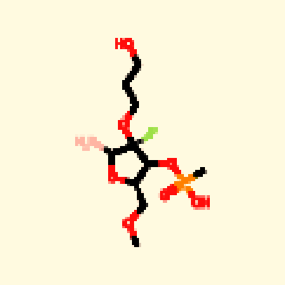 B[C@@H]1O[C@H](COC)C(OP(C)(=O)O)[C@]1(F)OCCCO